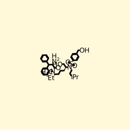 CC[C@@H](CCC[C@@H](CO)N(CCC(C)C)S(=O)(=O)c1ccc(CO)cc1)N(C)C(=O)[C@@H](N)C(c1ccccc1)c1ccccc1